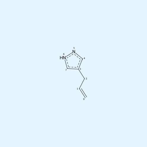 C=CCc1[c]n[nH]c1